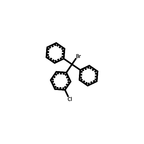 Clc1cccc(C(Br)(c2ccccc2)c2ccccc2)c1